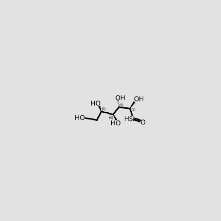 O=[SiH][C@H](O)[C@@H](O)[C@@H](O)[C@H](O)CO